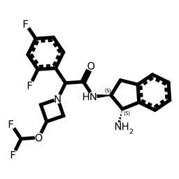 N[C@H]1c2ccccc2C[C@@H]1NC(=O)C(c1ccc(F)cc1F)N1CC(OC(F)F)C1